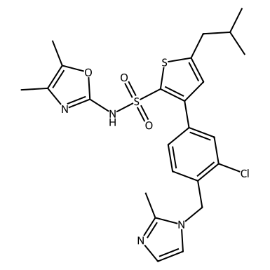 Cc1nc(NS(=O)(=O)c2sc(CC(C)C)cc2-c2ccc(Cn3ccnc3C)c(Cl)c2)oc1C